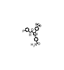 CS(=O)(=O)c1ccc(-c2nn(-c3ccc(C(N)=O)cc3)cc2C(=O)Nc2cccc(F)c2)cc1